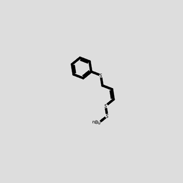 CCCCSS/C=C\CSc1ccccc1